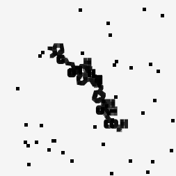 Cc1cccc(OCCCC(=O)N2C[C@H]3C[C@H]3c3c(-c4cnn(Cc5cccc(NC(=O)NCCC(=O)O)c5)c4)cccc32)c1C